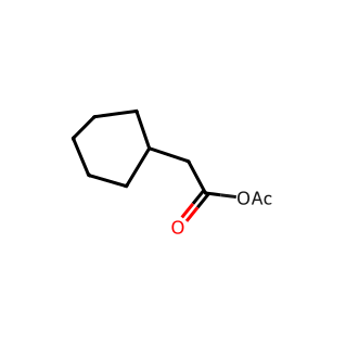 CC(=O)OC(=O)CC1CCCCC1